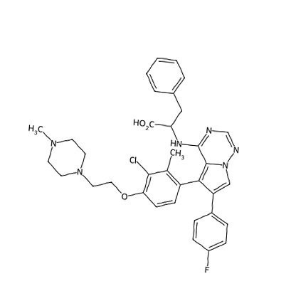 Cc1c(-c2c(-c3ccc(F)cc3)cn3ncnc(NC(Cc4ccccc4)C(=O)O)c23)ccc(OCCN2CCN(C)CC2)c1Cl